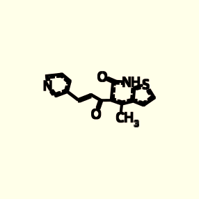 Cc1c(C(=O)/C=C/c2cccnc2)c(=O)[nH]c2sccc12